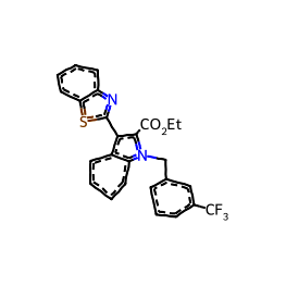 CCOC(=O)c1c(-c2nc3ccccc3s2)c2ccccc2n1Cc1cccc(C(F)(F)F)c1